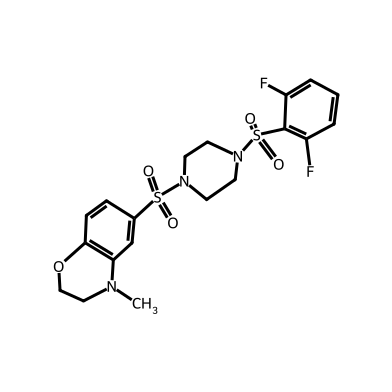 CN1CCOc2ccc(S(=O)(=O)N3CCN(S(=O)(=O)c4c(F)cccc4F)CC3)cc21